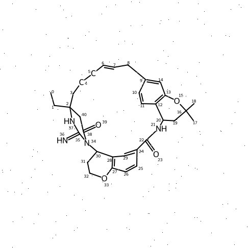 CCC12CCC/C=C/Cc3ccc4c(c3)OC(C)(C)CC4NC(=O)c3ccc4c(c3)C(CCO4)N(C(=N)N1)C(=O)C2